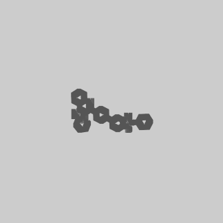 c1ccc(-c2nc3cc(-c4ccc(-c5nc6ccccc6c6nc7ccccn7c56)cc4)ccc3s2)cc1